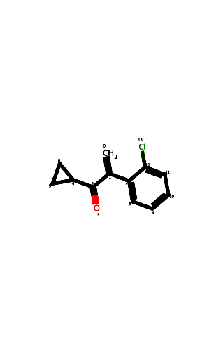 C=C(C(=O)C1CC1)c1ccccc1Cl